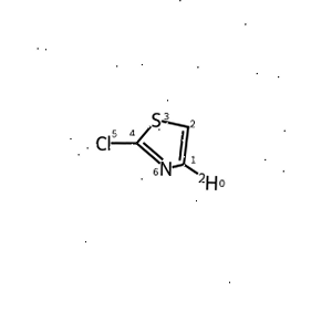 [2H]c1csc(Cl)n1